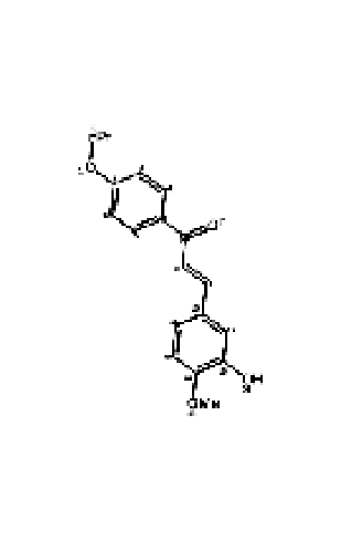 CCCOc1ccc(C(=O)/C=C/c2ccc(OC)c(O)c2)cc1